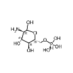 N[C@H]1C(O)O[C@H](CO[PH](O)(O)O)[C@@H](O)[C@@H]1O